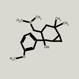 COc1cccc(C2(O)C(CN(C)C)CC(C)(C)C3CC32)c1